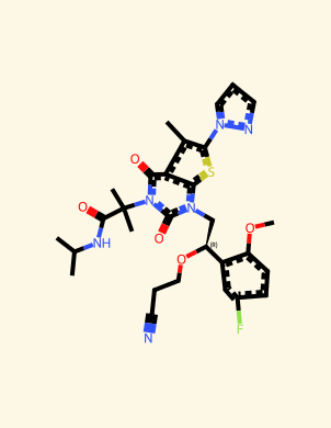 COc1ccc(F)cc1[C@H](Cn1c(=O)n(C(C)(C)C(=O)NC(C)C)c(=O)c2c(C)c(-n3cccn3)sc21)OCCC#N